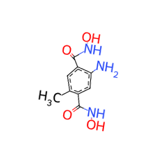 Cc1cc(C(=O)NO)c(N)cc1C(=O)NO